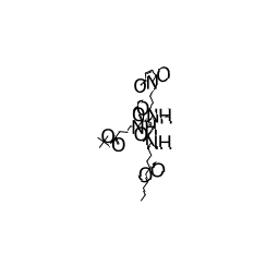 CCCCOC(=O)CCCNC(=O)C[C@H](NC(=O)CCCN1C(=O)C=CC1=O)C(=O)NCCCC(=O)OC(C)(C)C